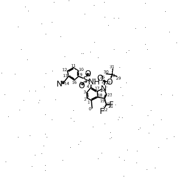 Cc1ccc(NS(=O)(=O)c2cccc(C#N)c2)c2c1c(C(F)F)cn2C(=O)OC(C)(C)C